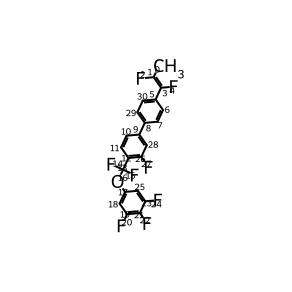 C/C(F)=C(\F)c1ccc(-c2ccc(C(F)(F)Oc3cc(F)c(F)c(F)c3)c(F)c2)cc1